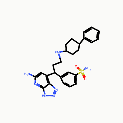 Nc1cc(C(CCNC2CCC(c3ccccc3)CC2)c2cccc(S(N)(=O)=O)c2)c2nn[nH]c2n1